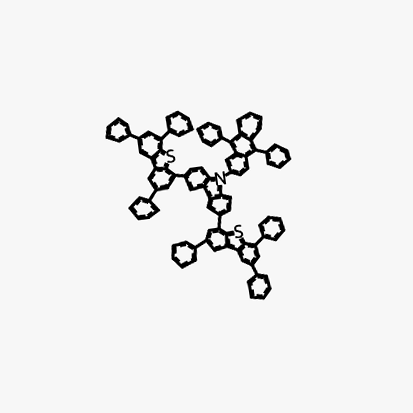 c1ccc(-c2cc(-c3ccccc3)c3sc4c(-c5ccc6c(c5)c5cc(-c7cc(-c8ccccc8)cc8c7sc7c(-c9ccccc9)cc(-c9ccccc9)cc78)ccc5n6-c5ccc6c(-c7ccccc7)c7ccccc7c(-c7ccccc7)c6c5)cc(-c5ccccc5)cc4c3c2)cc1